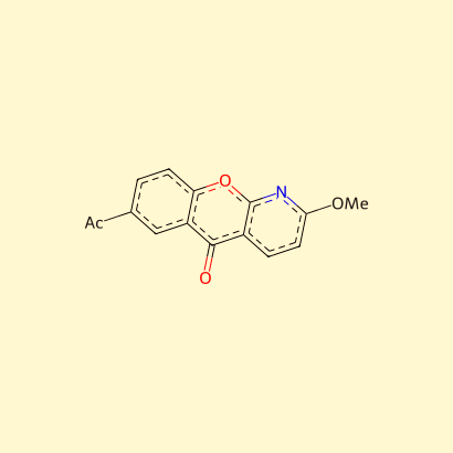 COc1ccc2c(=O)c3cc(C(C)=O)ccc3oc2n1